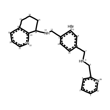 Br.c1ccc(CNCc2ccc(CNC3CCCc4cccnc43)cc2)nc1